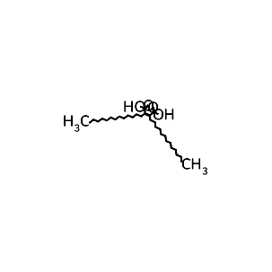 CCCCCCCCCCCCCC/C(C(=O)O)=C(\CCCCCCCCCCCCCC)C(=O)O